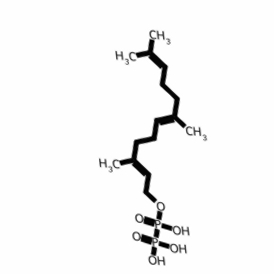 CC(C)=CCCC(C)=CCCC(C)=CCOP(=O)(O)P(=O)(O)O